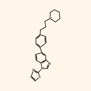 c1csc(-n2cnc3cc(-c4ccc(CCCN5CCCCC5)cc4)ccc32)n1